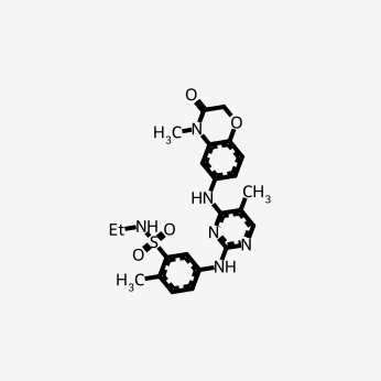 CCNS(=O)(=O)c1cc(Nc2ncc(C)c(Nc3ccc4c(c3)N(C)C(=O)CO4)n2)ccc1C